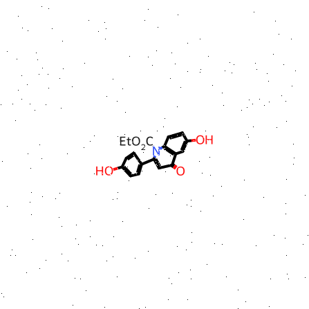 CCOC(=O)n1c(-c2ccc(O)cc2)cc(=O)c2cc(O)ccc21